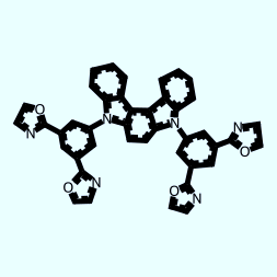 c1ccc2c(c1)c1c3c4ccccc4n(-c4cc(-c5ncco5)cc(-c5ncco5)c4)c3ccc1n2-c1cc(-c2ncco2)cc(-c2ncco2)c1